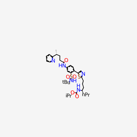 CCC[C@H](CCCc1ncc(-c2ccc(NC(=O)CC[C@@H](C)c3ccccn3)cc2S(=O)(=O)NC(C)(C)C)s1)NC(=O)OC(C)C